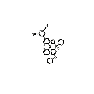 N#Cc1cc(-c2ccc3c(c2)Sc2ccccc2C32c3ccccc3P(=O)(c3ccccc3)c3cc4oc5ccccc5c4cc32)cc(C#N)n1